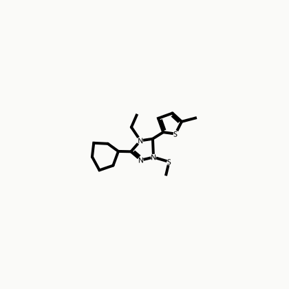 CCN1C(C2CCCCC2)=NN(SC)C1c1ccc(C)s1